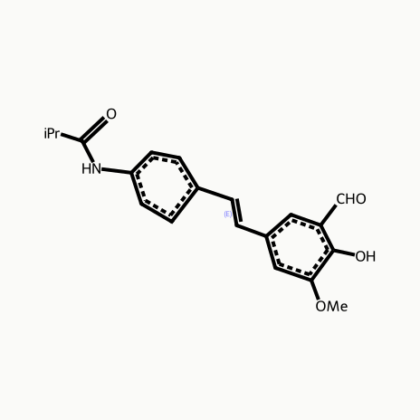 COc1cc(/C=C/c2ccc(NC(=O)C(C)C)cc2)cc(C=O)c1O